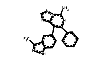 Nc1nc(-c2ccccc2)c(-c2ccc3[nH]nc(C(F)(F)F)c3c2)c2ncnn12